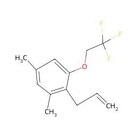 C=CCc1c(C)cc(C)cc1OCC(F)(F)F